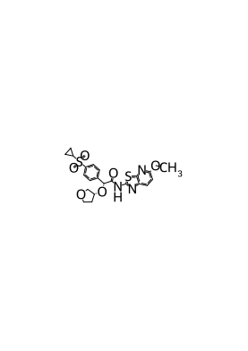 COc1ccc2nc(NC(=O)[C@H](O[C@@H]3CCOC3)c3ccc(S(=O)(=O)C4CC4)cc3)sc2n1